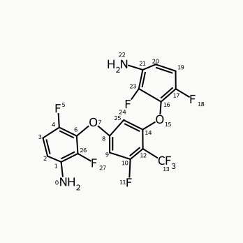 Nc1ccc(F)c(Oc2cc(F)c(C(F)(F)F)c(Oc3c(F)ccc(N)c3F)c2)c1F